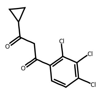 O=C(CC(=O)C1CC1)c1ccc(Cl)c(Cl)c1Cl